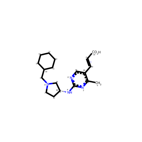 Cc1nc(N[C@@H]2CCN(CC3CCCCC3)C2)ncc1/C=C/C(=O)O